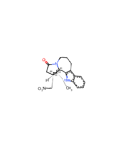 C[C@H]1C[C@@]23c4[nH]c5ccccc5c4CCCN2C(=O)C[C@H]3[C@@H]1C[N+](=O)[O-]